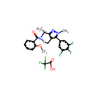 C[C@H]1c2nn(C)c(-c3cc(F)c(F)c(F)c3)c2CCN1C(=O)c1ccccc1OC(F)(F)F.O=C(O)C(F)(F)F